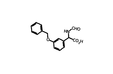 O=CNC(C(=O)O)c1cccc(OCc2ccccc2)c1